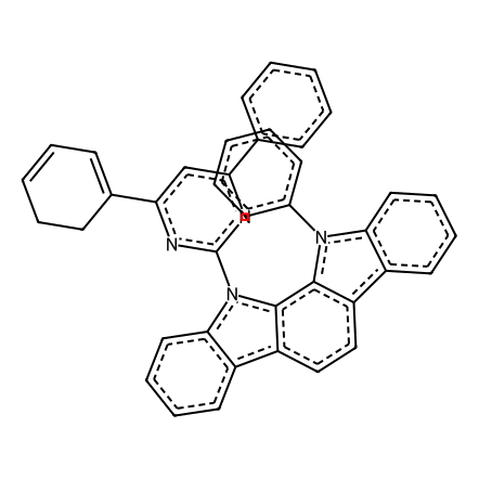 C1=CCCC(c2cc(-c3ccccc3)nc(-n3c4ccccc4c4ccc5c6ccccc6n(-c6ccccc6)c5c43)n2)=C1